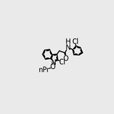 CCCOn1c(Cl)c(CC(=O)Nc2ccccc2Cl)c2ccccc21